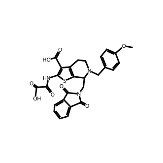 COc1ccc(CN2CCc3c(sc(NC(=O)C(=O)O)c3C(=O)O)C2CN2C(=O)c3ccccc3C2=O)cc1